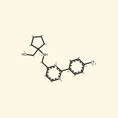 OCC1(NCc2ccnc(-c3ccc(C(F)(F)F)cc3)n2)CCCC1